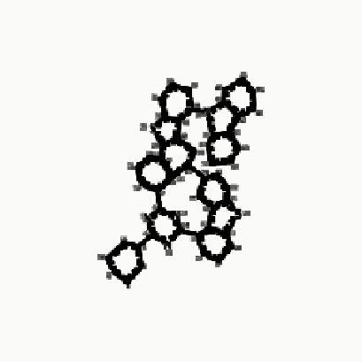 c1ccc(-c2nc(-c3ccccc3)nc(-c3cccc4sc5ccc(-c6ccc7sc8cccc(-n9c%10ccccc%10c%10ccccc%109)c8c7c6)cc5c34)n2)cc1